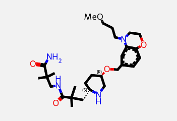 COCCCN1CCOc2ccc(CO[C@@H]3CC[C@@H](CC(C)(C)C(=O)NCC(C)(C)C(N)=O)NC3)cc21